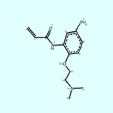 C=CC(=O)Nc1cc([N+](=O)[O-])ccc1OCCN(C)C